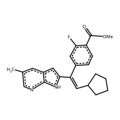 COC(=O)c1ccc(C(=CC2CCCC2)c2cc3cc(C)cnc3[nH]2)cc1F